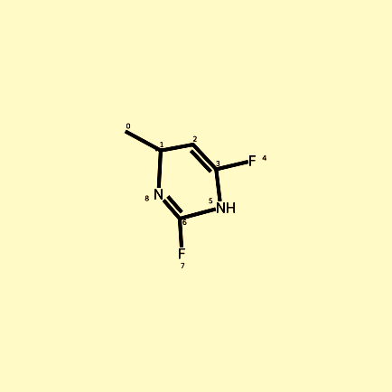 C[C]1C=C(F)NC(F)=N1